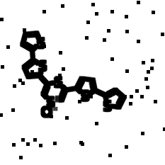 [O-][S+]1C=C(c2ccc(-c3cccs3)s2)SC(c2ccc(-c3cccs3)s2)=C1